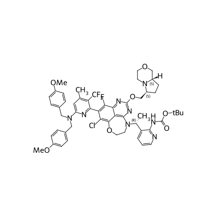 COc1ccc(CN(Cc2ccc(OC)cc2)c2cc(C)c(C(F)(F)F)c(-c3c(Cl)c4c5c(nc(OC[C@@H]6CC[C@H]7COCCN76)nc5c3F)N([C@H](C)c3cccnc3NC(=O)OC(C)(C)C)CCO4)n2)cc1